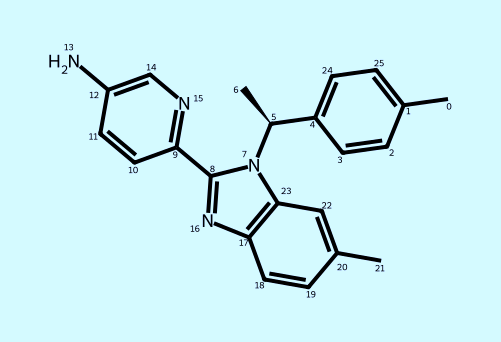 Cc1ccc([C@H](C)n2c(-c3ccc(N)cn3)nc3ccc(C)cc32)cc1